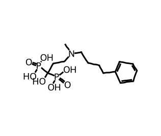 CN(CCCCc1ccccc1)CCC(O)(P(=O)(O)O)P(=O)(O)O